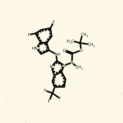 CN(C(=O)OC(C)(C)C)n1c(Nc2c[nH]c3c(F)cc(F)cc23)nc2cc(C(F)(F)F)ccc21